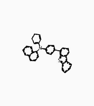 C1=CC(N(c2ccc(-c3cccc4c3sc3ccccc34)cc2)c2cccc3ccccc23)=CCC1